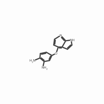 Nc1ccc(Oc2ccnc3[nH]ccc23)cc1N